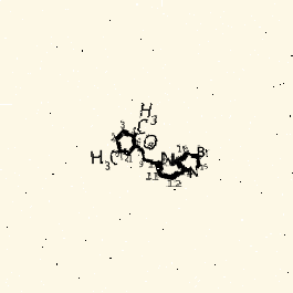 Cc1ccc(C)c(C(=O)Cc2ccc3ncc(Br)cc3n2)c1